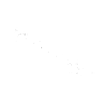 CCCN([SiH2]OCC)C(=O)[N]CCCCCCCCCCCCNC(N)=O